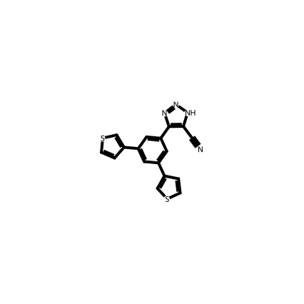 N#Cc1[nH]nnc1-c1cc(-c2ccsc2)cc(-c2ccsc2)c1